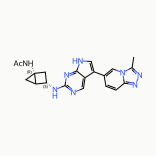 CC(=O)N[C@@]12CC1[C@@H](Nc1ncc3c(-c4ccc5nnc(C)n5c4)c[nH]c3n1)C2